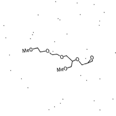 COCCOCCOCC(COC)OCC1CO1